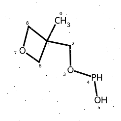 CC1(COPO)COC1